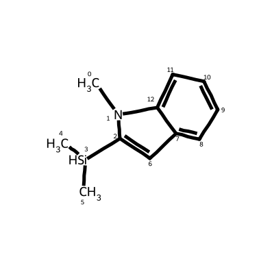 Cn1c([SiH](C)C)cc2ccccc21